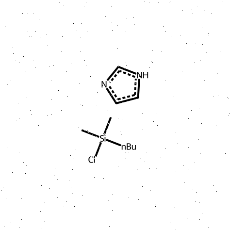 CCCC[Si](C)(C)Cl.c1c[nH]cn1